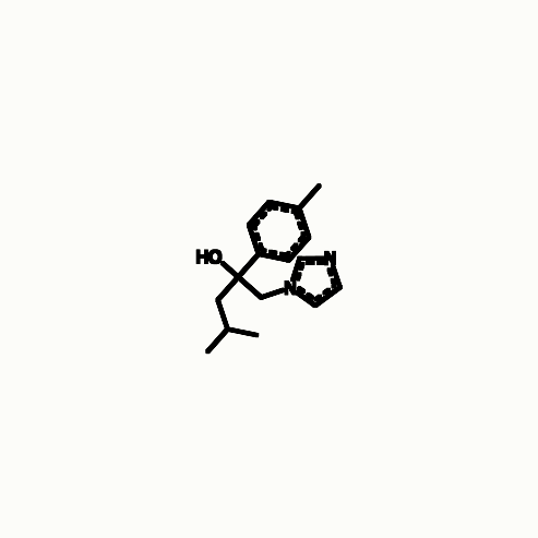 Cc1ccc(C(O)(CC(C)C)Cn2ccnc2)cc1